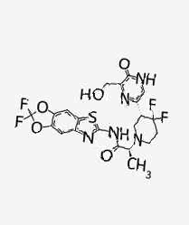 C[C@@H](C(=O)Nc1nc2cc3c(cc2s1)OC(F)(F)O3)N1CCC(F)(F)[C@@H](c2c[nH]c(=O)c(CO)n2)C1